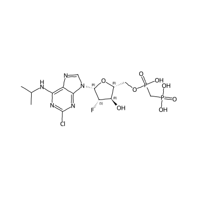 CC(C)Nc1nc(Cl)nc2c1ncn2[C@@H]1O[C@H](COP(=O)(O)CP(=O)(O)O)[C@@H](O)[C@@H]1F